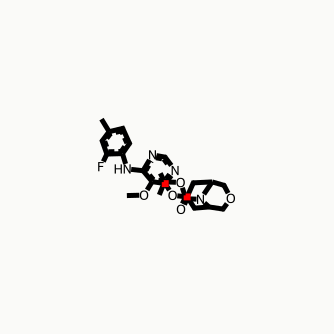 COc1c(Nc2ccc(C)cc2F)ncnc1OC1CC2COCC(C1)N2C(=O)OC(C)C